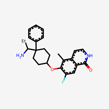 CCC(N)C1(c2ccccc2)CCC(Oc2c(F)cc3c(=O)[nH]ccc3c2C)CC1